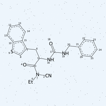 CCN(C#N)C(=O)C(Cc1csc2ccccc12)NC(=O)NCc1ccccc1